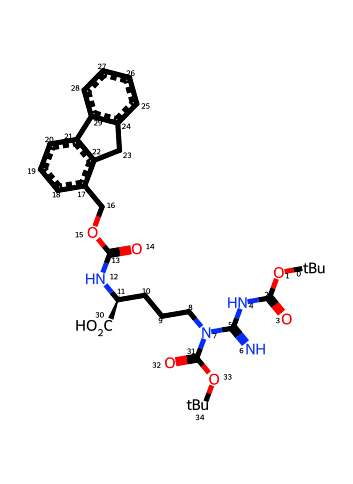 CC(C)(C)OC(=O)NC(=N)N(CCC[C@H](NC(=O)OCc1cccc2c1Cc1ccccc1-2)C(=O)O)C(=O)OC(C)(C)C